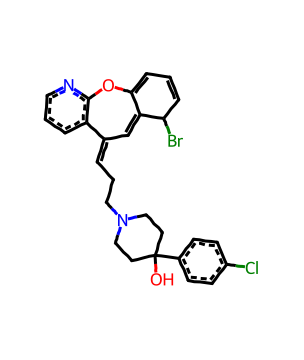 OC1(c2ccc(Cl)cc2)CCN(CCC=C2C=C3C(=CC=CC3Br)Oc3ncccc32)CC1